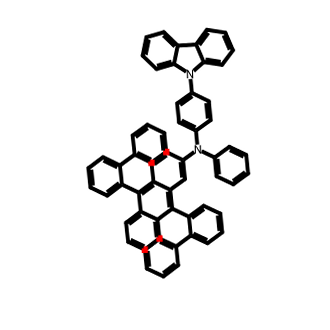 c1ccc(-c2ccccc2-c2c3ccccc3c(-c3ccccc3-c3ccccc3)c3cc(N(c4ccccc4)c4ccc(-n5c6ccccc6c6ccccc65)cc4)ccc23)cc1